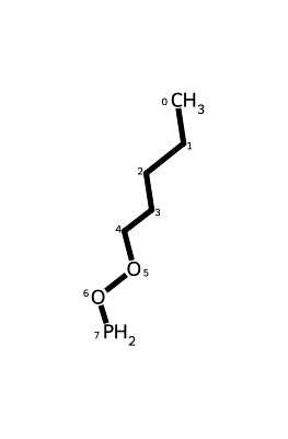 CCCCCOOP